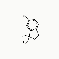 CC1(C)CCc2ncc(Br)cc21